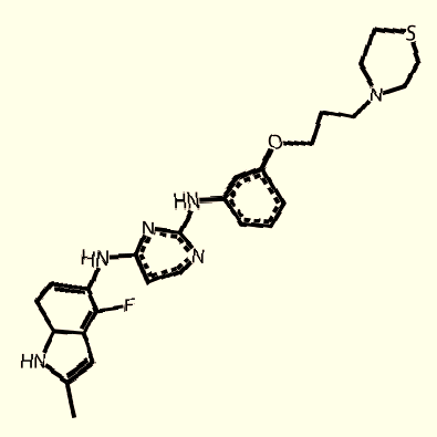 CC1=CC2=C(F)C(Nc3ccnc(Nc4cccc(OCCCN5CCSCC5)c4)n3)=CCC2N1